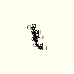 C/C(=N\NC(=O)c1ccc(C(=O)NCC2=CCNC=C2)s1)c1csc(-c2ccc(Cl)c(Cl)c2)c1O